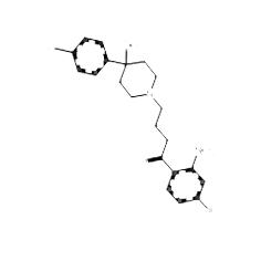 O=C(CCCN1CCC(O)(c2ccc(Cl)cc2)CC1)c1ccc(F)cc1[N+](=O)[O-]